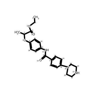 CCOC(=O)C(C)Oc1ccc(NC(=O)c2ccc(N3CCNCC3)cc2)cc1